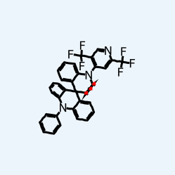 FC(F)(F)c1cc(N2c3ccccc3C3(c4ccccc4N(c4ccccc4)c4ccccc43)c3ccccc32)c(C(F)(F)F)cn1